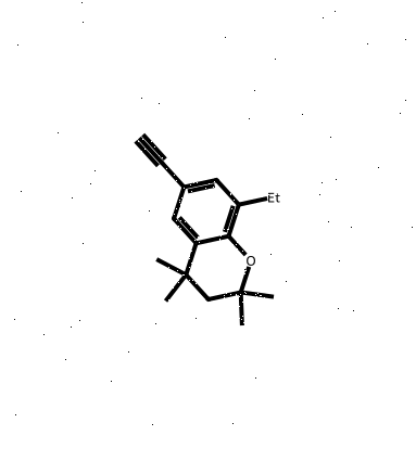 C#Cc1cc(CC)c2c(c1)C(C)(C)CC(C)(C)O2